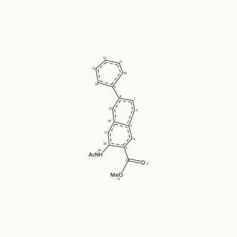 COC(=O)c1cc2ccc(-c3ccccc3)cc2cc1NC(C)=O